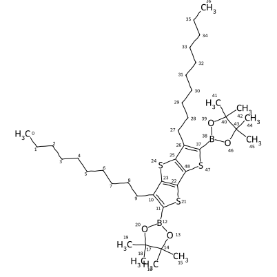 CCCCCCCCCCc1c(B2OC(C)(C)C(C)(C)O2)sc2c1sc1c(CCCCCCCCCC)c(B3OC(C)(C)C(C)(C)O3)sc12